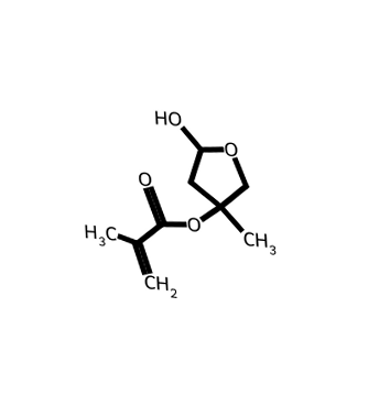 C=C(C)C(=O)OC1(C)COC(O)C1